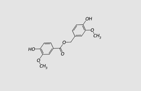 COc1cc(COC(=O)c2ccc(O)c(OC)c2)ccc1O